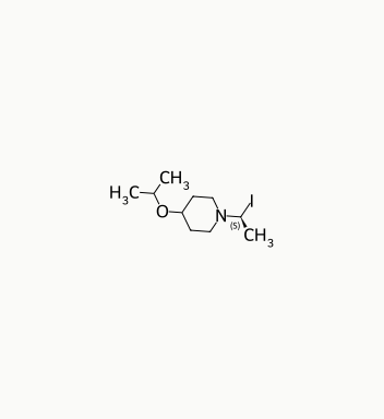 CC(C)OC1CCN([C@H](C)I)CC1